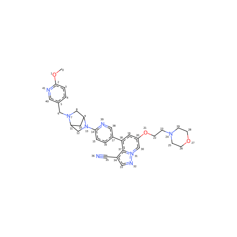 COc1ccc(CN2CC3CC2CN3c2ccc(-c3cc(OCCN4CCOCC4)cn4ncc(C#N)c34)cn2)cn1